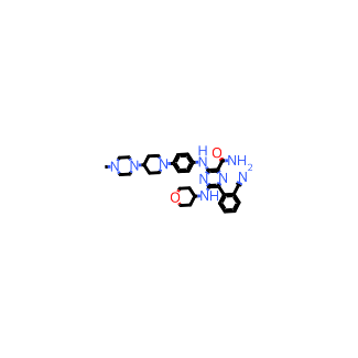 CN1CCN(C2CCN(c3ccc(Nc4nc(NC5CCOCC5)c(-c5ccccc5C#N)nc4C(N)=O)cc3)CC2)CC1